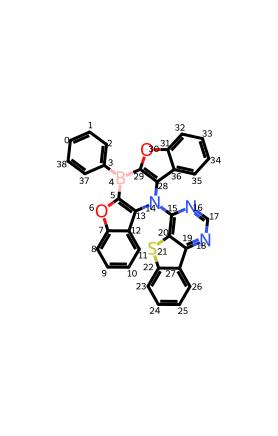 c1ccc(B2c3oc4ccccc4c3N(c3ncnc4c3sc3ccccc34)c3c2oc2ccccc32)cc1